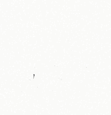 N#C[C@@H]1CSCN1C(=O)CNC(=O)c1ccnc2ccc(N3CCCOCC3)cc12